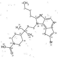 CCCCc1nc2cnc3cc(Br)sc3c2n1CCC(C)(C)C1CCN(C(=O)O)CC1